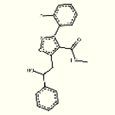 CNC(=O)c1c(-c2ccccc2F)noc1CC(O)c1ccccc1